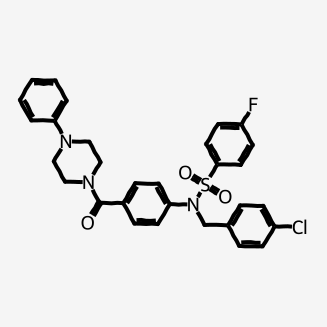 O=C(c1ccc(N(Cc2ccc(Cl)cc2)S(=O)(=O)c2ccc(F)cc2)cc1)N1CCN(c2ccccc2)CC1